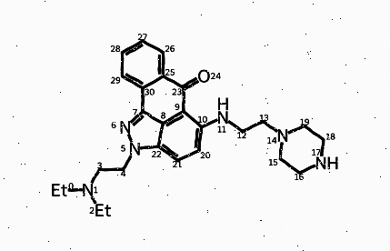 CCN(CC)CCn1nc2c3c(c(NCCN4CCNCC4)ccc31)C(=O)c1ccccc1-2